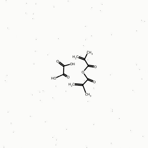 C=C(C)C(=O)OC(=O)C(=C)C.O=C(O)C(=O)O